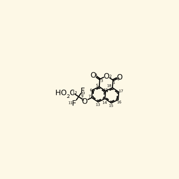 O=C1OC(=O)c2cc(OC(F)(F)C(=O)O)cc3cccc1c23